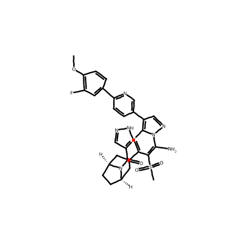 COc1ccc(-c2ccc(-c3cnn4c(N)c(S(C)(=O)=O)c(C5C[C@H]6CC[C@@H](C5)N6C(=O)c5cn[nH]n5)nc34)cn2)cc1F